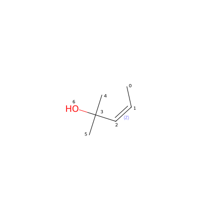 C/C=C\C(C)(C)O